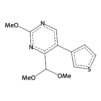 COc1ncc(-c2ccsc2)c(C(OC)OC)n1